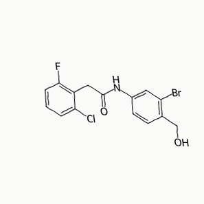 O=C(Cc1c(F)cccc1Cl)Nc1ccc(CO)c(Br)c1